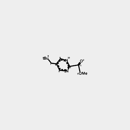 COC(=O)c1ncc(CC(C)(C)C)cn1